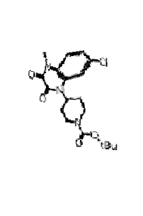 Cn1c(=O)c(=O)n(C2CCN(C(=O)OC(C)(C)C)CC2)c2cc(Cl)ccc21